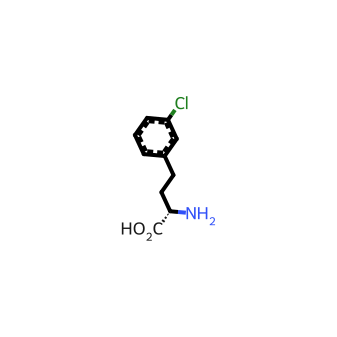 N[C@@H](CCc1cccc(Cl)c1)C(=O)O